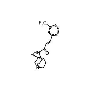 O=C(C=Cc1cccc(C(F)(F)F)c1)N[C@H]1CN2CCC1CC2